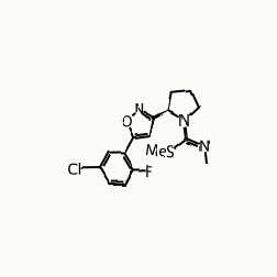 C/N=C(\SC)N1CCC[C@@H]1c1cc(-c2cc(Cl)ccc2F)on1